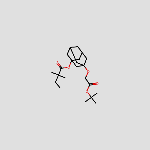 CCC(C)(C)C(=O)OC12CC3CC(CC(OCC(=O)OC(C)(C)C)(C3)C1)C2